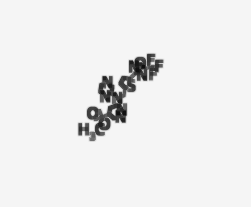 COC1(c2cnnc(N(Cc3ccc(-c4noc(C(F)(F)F)n4)s3)c3cnccn3)c2)COC1